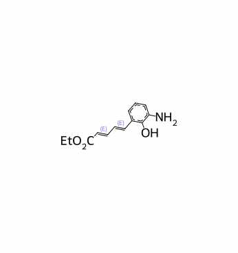 CCOC(=O)/C=C/C=C/c1cccc(N)c1O